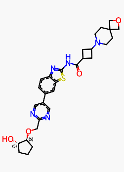 O=C(Nc1nc2ccc(-c3cnc(CO[C@H]4CCC[C@@H]4O)nc3)cc2s1)C1CC(N2CCC3(CC2)COC3)C1